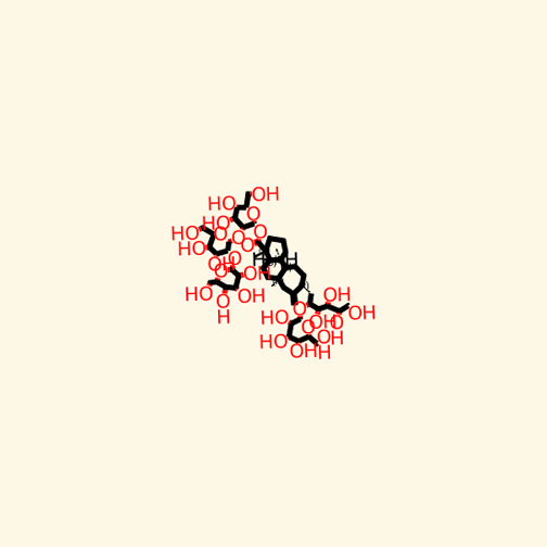 C=C1C[C@@]2(C)CC[C@H]3[C@@](C)(CCC[C@@]3(C)C(=O)OC3OC(CO)C(O)C(O)C3OC3OC(CO)C(O)C(O)C3OC3OC(CO)C(O)C(O)C3O)[C@@H]2CC[C@@H]1CC(OC1OC(CO)C(O)C(O)C1O)C(O)C(O)C(O)CO